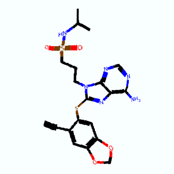 C#Cc1cc2c(cc1Sc1nc3c(N)ncnc3n1CCCS(=O)(=O)NC(C)C)OCO2